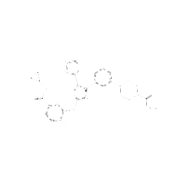 COC(=O)N1CCC(c2cccc(-c3nc(Nc4cc(C(=O)NC5CC5)ccc4C)sc3-c3nnco3)c2)CC1